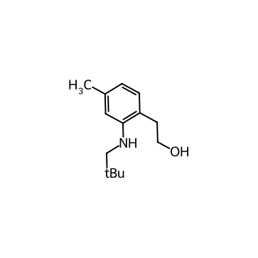 Cc1ccc(CCO)c(NCC(C)(C)C)c1